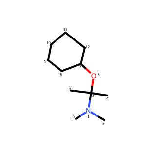 CN(C)C(C)(C)OC1CCCCC1